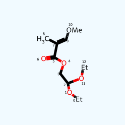 CCOC(COC(=O)C(C)=COC)OCC